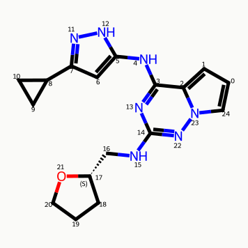 c1cc2c(Nc3cc(C4CC4)n[nH]3)nc(NC[C@@H]3CCCO3)nn2c1